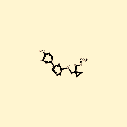 N#Cc1ccc(-c2cncc(OCC3(CNC(=O)O)CC3)c2)cc1